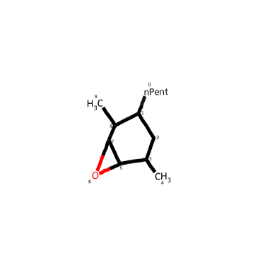 CCCCCC1CC(C)C2OC2C1C